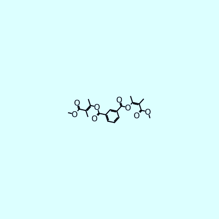 COC(=O)C(C)=C(C)OC(=O)c1cccc(C(=O)OC(C)=C(C)C(=O)OC)c1